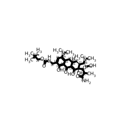 CC(C(N)=O)C(=O)[C@@]1(O)C(O)=C2C(=O)c3c(O)c(CNC(=O)OCC(C)(C)C)cc(N(C)C)c3C[C@H]2C[C@H]1[C@@H](CO)N(C)C